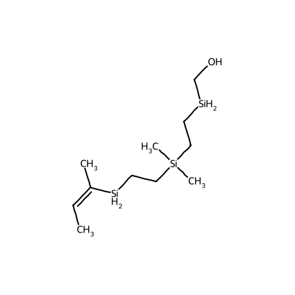 CC=C(C)[SiH2]CC[Si](C)(C)CC[SiH2]CO